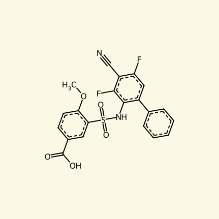 COc1ccc(C(=O)O)cc1S(=O)(=O)Nc1c(-c2ccccc2)cc(F)c(C#N)c1F